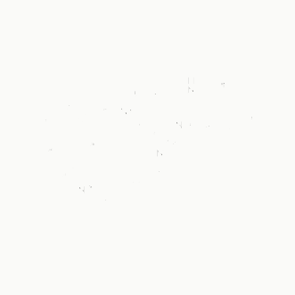 O=C1CCCN2CCN(CC/C(NC3CCCCC3)=N\C2=O)Cc2cccc(c2)CN1